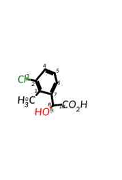 Cc1c(Cl)cccc1C(O)C(=O)O